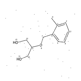 Cc1ccccc1COC(CO)CO